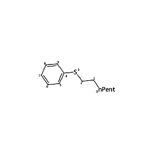 C[CH]CCCCCSc1ccccc1